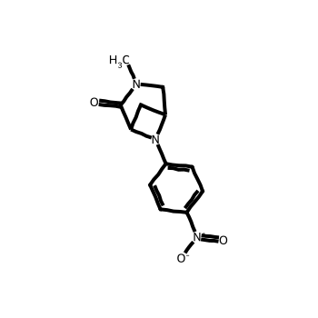 CN1CC2CC(C1=O)N2c1ccc([N+](=O)[O-])cc1